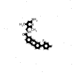 Cc1cc(N)nc(C)c1CNC(=O)c1ccc2c(c1)C1OC2c2ccc(-c3ccc(F)cc3F)cc21